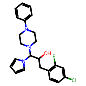 OC(Cc1ccc(Cl)cc1F)C(N1CCN(c2ccccc2)CC1)n1cccc1